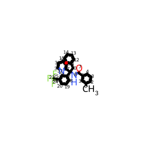 Cc1cccc(C(=O)NC(Cc2ccccc2)(c2cccc(C(F)(F)F)c2)c2ccccn2)c1